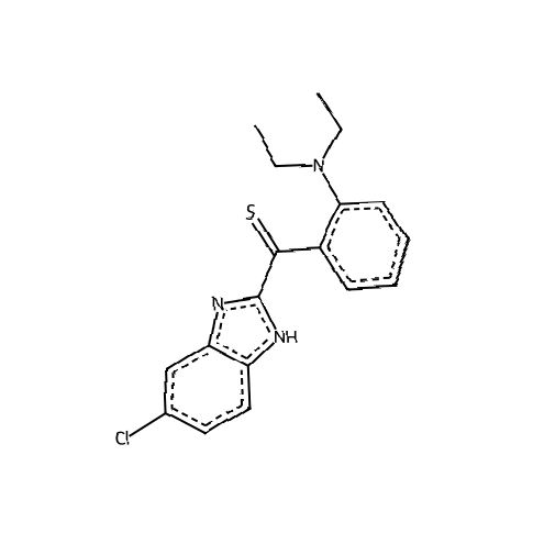 CCN(CC)c1ccccc1C(=S)c1nc2cc(Cl)ccc2[nH]1